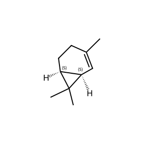 CC1=C[C@@H]2[C@H](CC1)C2(C)C